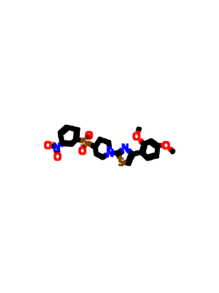 COc1ccc(-c2csc(N3CCC(S(=O)(=O)c4cccc([N+](=O)[O-])c4)CC3)n2)c(OC)c1